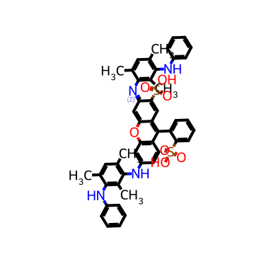 Cc1cc(C)c(Nc2ccccc2)c(C)c1/N=c1/cc2oc3cc(Nc4c(C)cc(C)c(Nc5ccccc5)c4C)ccc3c(-c3ccccc3S(=O)(=O)O)c-2cc1S(=O)(=O)O